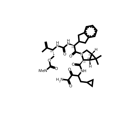 C=C(C)[C@@H](COC(=O)NC)NC(=O)N[C@H](C(=O)N1C[C@H]2[C@@H]([C@H]1C(=O)NC(CC1CC1)C(=O)C(N)=O)C2(C)C)C1Cc2ccccc2C1